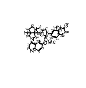 COc1ccc2nccc(N3C[C@@H]4CCN(C[C@@H]5CN(c6ccc7c(c6)NC(=O)CS7)C(=O)O5)[C@@H]4C3)c2n1